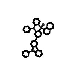 O=P1(c2cccc3ccccc23)c2ccccc2N(c2ccccc2)c2cc(-c3ccc4c(c3)c3ccccc3n4-c3ccccc3)ccc21